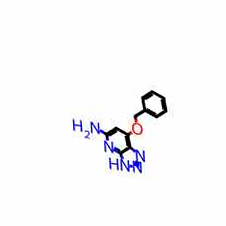 Nc1cc(OCc2ccccc2)c2nn[nH]c2n1